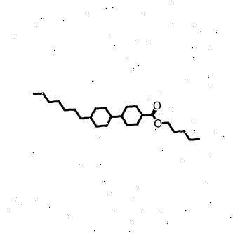 CCCCCCCC1CCC(C2CCC(C(=O)OCCCCC)CC2)CC1